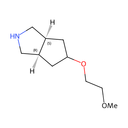 COCCOC1C[C@H]2CNC[C@H]2C1